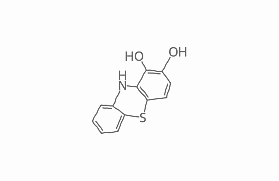 Oc1ccc2c(c1O)Nc1ccccc1S2